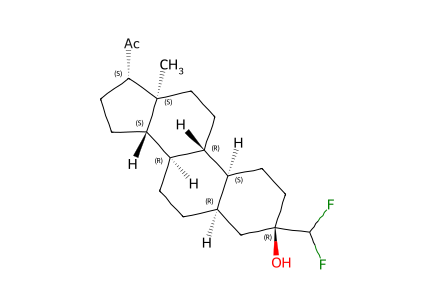 CC(=O)[C@H]1CC[C@H]2[C@@H]3CC[C@@H]4C[C@@](O)(C(F)F)CC[C@@H]4[C@H]3CC[C@]12C